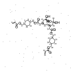 C=CC(=O)OCC1CCC(COC(=O)CN(CCN(CC(=O)OCC2CCC(COC(=O)C=C)CC2)CC(C)(O)O)CC(=O)O)CC1